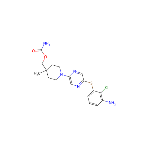 CC1(COC(N)=O)CCN(c2cnc(Sc3cccc(N)c3Cl)cn2)CC1